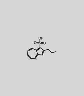 CCCc1cc2cccccc-2c1S(=O)(=O)O